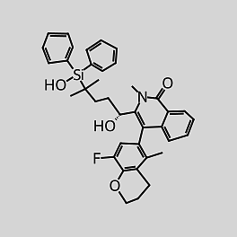 Cc1c(-c2c([C@H](O)CCC(C)(C)[Si](O)(c3ccccc3)c3ccccc3)n(C)c(=O)c3ccccc23)cc(F)c2c1CCCO2